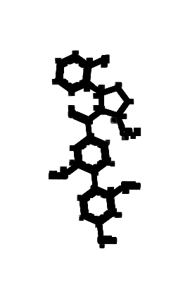 COc1ccc(-c2ncc(C(=O)N3[C@@H](c4ccccc4Cl)CC[C@H]3C(=O)O)cc2OC)c(OC)n1